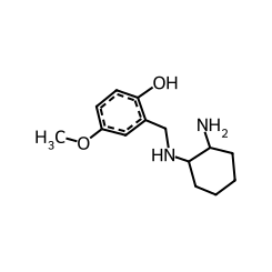 COc1ccc(O)c(CNC2CCCCC2N)c1